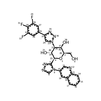 OC[C@H]1O[C@@H](c2nncn2-c2cnc3ccccc3c2)[C@H](O)[C@@H](n2cc(-c3cc(F)c(F)c(F)c3)nn2)[C@H]1O